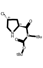 CC(C)(C)OC(=O)N(C(=O)[C@@H]1C[C@@H](Cl)CN1)C(C)(C)C